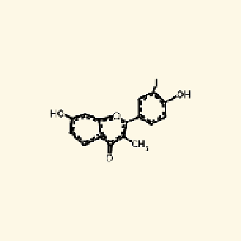 Cc1c(-c2ccc(O)c(I)c2)oc2cc(O)ccc2c1=O